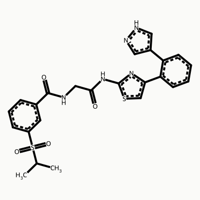 CC(C)S(=O)(=O)c1cccc(C(=O)NCC(=O)Nc2nc(-c3ccccc3-c3cn[nH]c3)cs2)c1